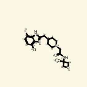 CC1(NC(=O)CN2CCC(Cc3nc4c(Cl)ccc(F)c4[nH]3)CC2)COC1